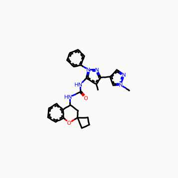 Cc1c(-c2cnn(C)c2)nn(-c2ccccc2)c1NC(=O)NC1CC2(CCC2)Oc2ccccc21